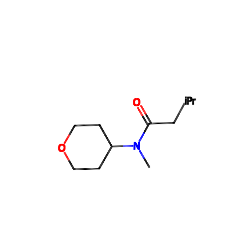 CC(C)CC(=O)N(C)C1CCOCC1